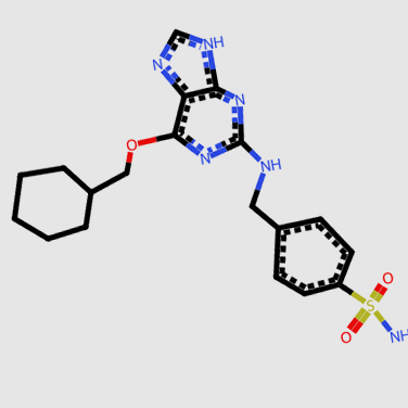 NS(=O)(=O)c1ccc(CNc2nc(OCC3CCCCC3)c3nc[nH]c3n2)cc1